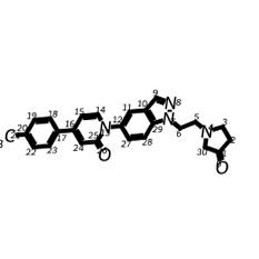 O=C1CCN(CCn2ncc3cc(-n4ccc(-c5ccc(C(F)(F)F)cc5)cc4=O)ccc32)C1